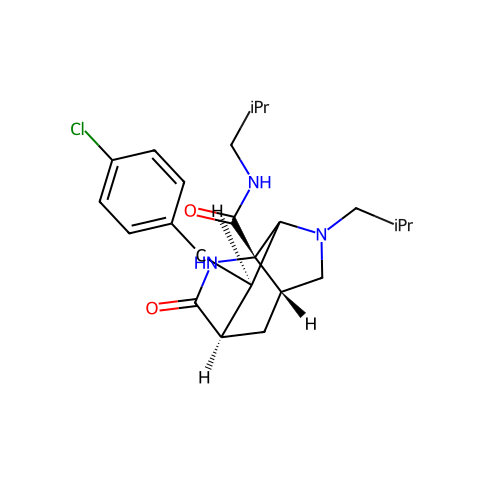 CC(C)CNC(=O)[C@]12NC(=O)[C@@H]3C[C@H]1CN(CC(C)C)C2[C@@H]3Cc1ccc(Cl)cc1